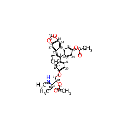 CCC(=C(c1ccc(OCC(OC(C)=O)C(CC)NC)cc1)c1ccc(OC(C)=O)cc1)c1ccc2c(c1)OCO2